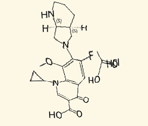 CC(=O)O.COc1c(N2C[C@@H]3CCCN[C@@H]3C2)c(F)cc2c(=O)c(C(=O)O)cn(C3CC3)c12.Cl